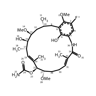 COc1c(F)cc2c(O)c1C[C@@H](C)C[C@H](OC)[C@H](O)[C@@H](C)/C=C(\C)[C@H](OC(N)=O)[C@@H](OC)CC/C=C(\C)C(=O)N2